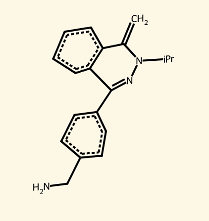 C=C1c2ccccc2C(c2ccc(CN)cc2)=NN1C(C)C